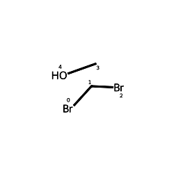 BrCBr.CO